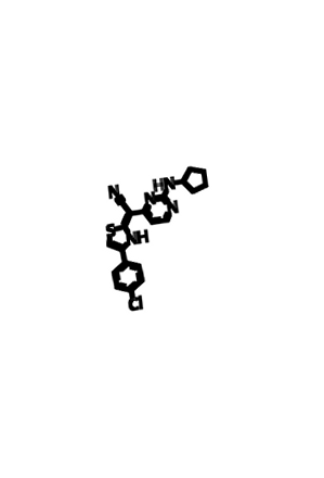 N#CC(=C1NC(c2ccc(Cl)cc2)=CS1)c1ccnc(NC2CCCC2)n1